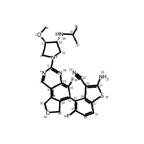 CO[C@@H]1CN(c2ncc3c4c(c(-c5c(F)ccc6sc(N)c(C#N)c56)c(F)c3n2)COC4)C[C@H]1NC(C)C